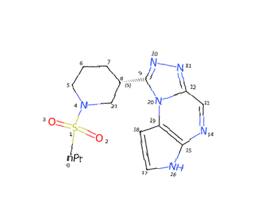 CCCS(=O)(=O)N1CCC[C@H](c2nnc3cnc4[nH]ccc4n23)C1